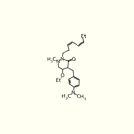 CC/C=C\C=C/CCN1C(=O)C(Cc2ccc(N(C)C)cc2)C(OCC)CN1C